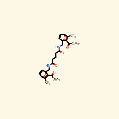 COC(=O)C1=C(C(F)(F)F)C2C=CC1(CNC(=O)CCCC(=O)NCC13C=CC(O1)C(C(F)(F)F)=C3C(=O)OC)O2